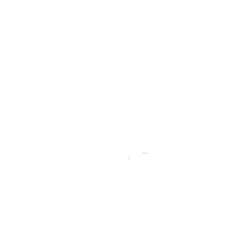 C=C(COCCCCCCCCCCCCCCCC)COC(=O)CCCCCBr